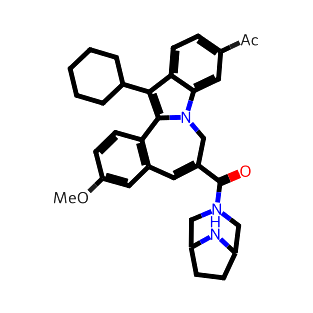 COc1ccc2c(c1)C=C(C(=O)N1CC3CCC(C1)N3)Cn1c-2c(C2CCCCC2)c2ccc(C(C)=O)cc21